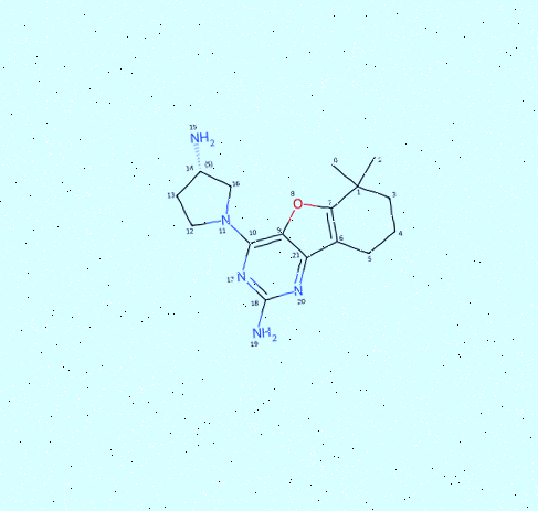 CC1(C)CCCc2c1oc1c(N3CC[C@H](N)C3)nc(N)nc21